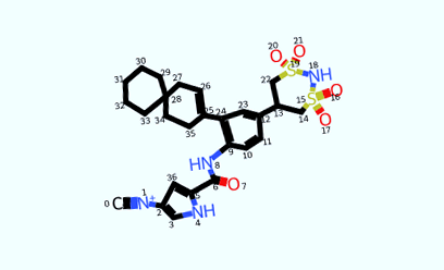 [C-]#[N+]c1c[nH]c(C(=O)Nc2ccc(C3CS(=O)(=O)NS(=O)(=O)C3)cc2C2=CCC3(CCCCC3)CC2)c1